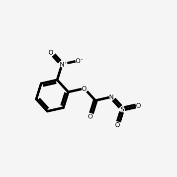 O=C(N=S(=O)=O)Oc1ccccc1[N+](=O)[O-]